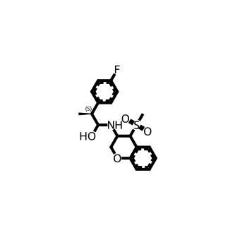 C[C@@H](c1ccc(F)cc1)C(O)NC1COc2ccccc2C1S(C)(=O)=O